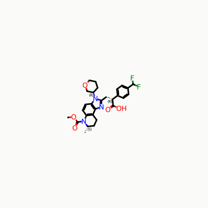 COC(=O)N1c2ccc3c(nc(C[C@@H](C(=O)O)c4ccc(C(F)F)cc4)n3[C@@H]3CCCOC3)c2CC[C@@H]1C